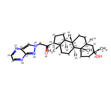 C[C@@]1(O)CC[C@@]2(C)[C@@H](CC[C@@H]3[C@@H]2CC[C@]2(C)[C@@H](C(=O)Cn4cc5nccnc5n4)CC[C@@H]32)C1